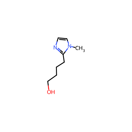 Cn1ccnc1CCCCO